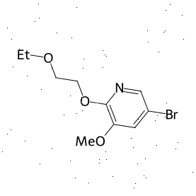 CCOCCOc1ncc(Br)cc1OC